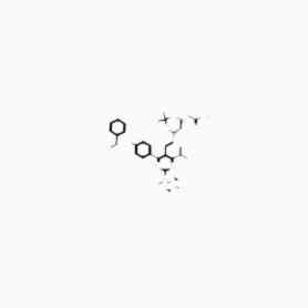 CC(C)c1nc(N(C)S(C)(=O)=O)nc(-c2ccc(F)cc2)c1C=C[C@@H]1C[C@H](CC(=O)O)OC(C)(C)O1.NCc1ccccc1